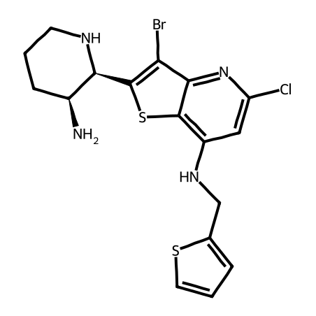 N[C@H]1CCCN[C@H]1c1sc2c(NCc3cccs3)cc(Cl)nc2c1Br